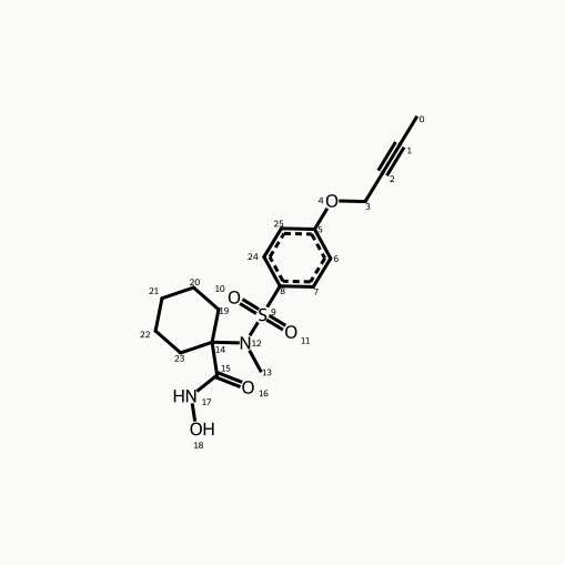 CC#CCOc1ccc(S(=O)(=O)N(C)C2(C(=O)NO)CCCCC2)cc1